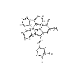 Nc1cc2c(C=Cc3ccc(F)c(F)c3)nn(C(c3ccccc3)(c3ccccc3)c3ccccc3)c2cc1F